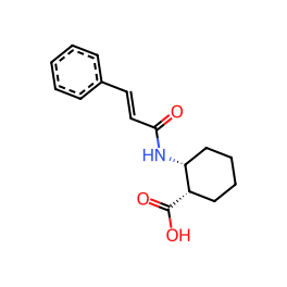 O=C(/C=C/c1ccccc1)N[C@@H]1CCCC[C@@H]1C(=O)O